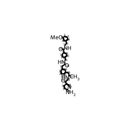 COc1cccc(CCNC(=O)c2ccc(CNC(=O)Cc3cccc(CC(C)NCC(O)c4ccc(N)nc4)c3)cc2)c1